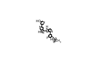 CS(=O)(=O)NCc1cc(F)cc(-c2nccc3[nH]c(-c4n[nH]c5cnc(-c6cncc(O)c6)cc45)nc23)c1